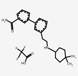 CC1(C)CCC(NCCc2cccc(-c3cccc(C(N)=O)c3)c2)CC1.O=C(O)C(F)(F)F